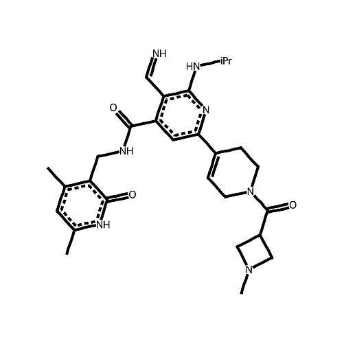 Cc1cc(C)c(CNC(=O)c2cc(C3=CCN(C(=O)C4CN(C)C4)CC3)nc(NC(C)C)c2C=N)c(=O)[nH]1